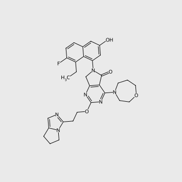 CCc1c(F)ccc2cc(O)cc(N3Cc4nc(OCCc5ncc6n5CCC6)nc(N5CCCOCC5)c4C3=O)c12